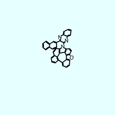 c1ccc2cc(-c3nc4ccccc4nc3-n3c4ccc5cccc6c5c4c4c5c(ccc43)oc3cccc-6c35)ccc2c1